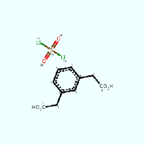 O=C(O)Cc1cccc(CC(=O)O)c1.O=S(=O)(Cl)Cl